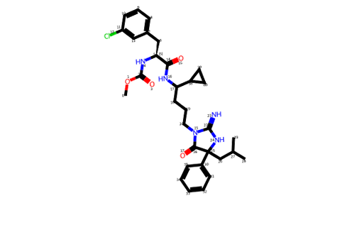 COC(=O)N[C@@H](Cc1cccc(Cl)c1)C(=O)NC(CCCN1C(=N)NC(CC(C)C)(c2ccccc2)C1=O)C1CC1